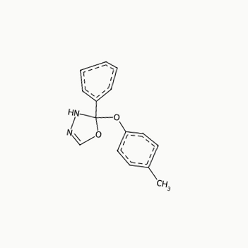 Cc1ccc(OC2(c3ccccc3)NN=CO2)cc1